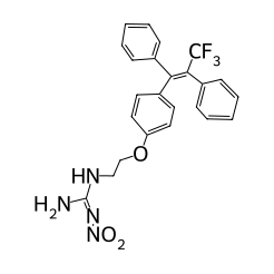 NC(=N[N+](=O)[O-])NCCOc1ccc(C(=C(c2ccccc2)C(F)(F)F)c2ccccc2)cc1